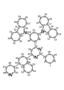 c1ccc(-c2nc(-c3cc(-n4c5ccccc5c5ccccc54)cc(-n4c5ccccc5c5ccccc54)c3)cc(-c3ccc(-c4cccnc4)c4ccccc34)n2)cc1